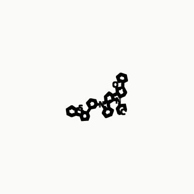 c1ccc(-n2c3ccc4c5ccccc5oc4c3c3ccc4c(c5ccccc5n4-c4cccc(-c5cccc6c5sc5ccccc56)c4)c32)cc1